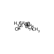 Cc1ccc(S(=O)(=O)OCCC(C)CCCCl)cc1